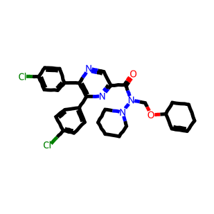 O=C(c1cnc(-c2ccc(Cl)cc2)c(-c2ccc(Cl)cc2)n1)N(COC1C=CCCC1)N1CCCCC1